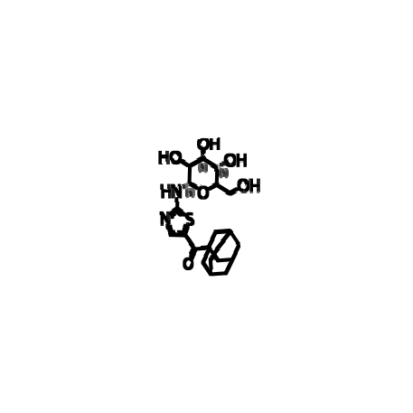 O=C(c1cnc(N[C@H]2OC(CO)[C@@H](O)[C@H](O)C2O)s1)C12CC3CC(CC(C3)C1)C2